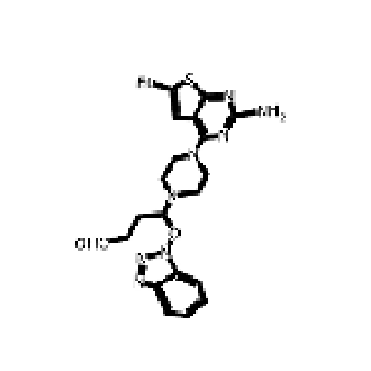 CCc1cc2c(N3CCN(C(CCC=O)On4nnc5ccccc54)CC3)nc(N)nc2s1